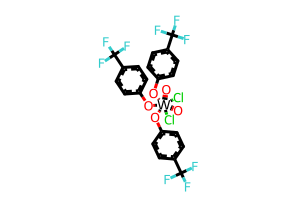 [O]=[W](=[O])([Cl])([Cl])([O]c1ccc(C(F)(F)F)cc1)([O]c1ccc(C(F)(F)F)cc1)[O]c1ccc(C(F)(F)F)cc1